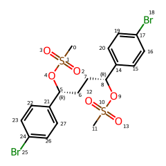 CS(=O)(=O)O[C@H](CC[C@@H](OS(C)(=O)=O)c1ccc(Br)cc1)c1ccc(Br)cc1